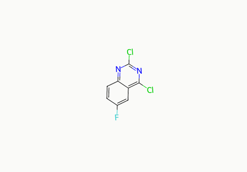 Fc1ccc2nc(Cl)nc(Cl)c2c1